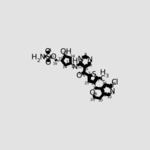 Cc1sc(C(=O)c2cncnc2N[C@@H]2C[C@H](COS(N)(=O)=O)[C@@H](O)C2)cc1[C@H]1OCCc2cnc(Cl)cc21